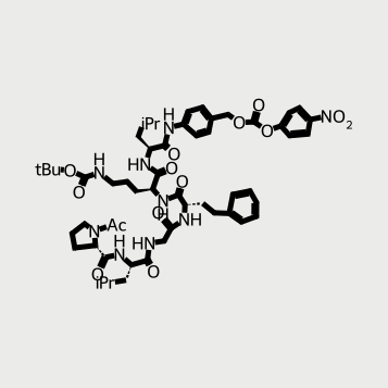 CC(=O)N1CCC[C@H]1C(=O)N[C@@H](CC(C)C)C(=O)NCC(=O)N[C@@H](CCc1ccccc1)C(=O)N[C@@H](CCCNC(=O)OC(C)(C)C)C(=O)N[C@@H](CC(C)C)C(=O)Nc1ccc(COC(=O)Oc2ccc([N+](=O)[O-])cc2)cc1